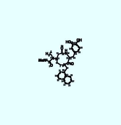 CNC(=O)N(C)N1CCN(Cc2cccc3ccccc23)C(=O)[C@H](Cc2ccc(O)c(O)c2)NC(=O)C1